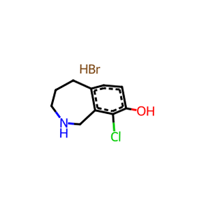 Br.Oc1ccc2c(c1Cl)CNCCC2